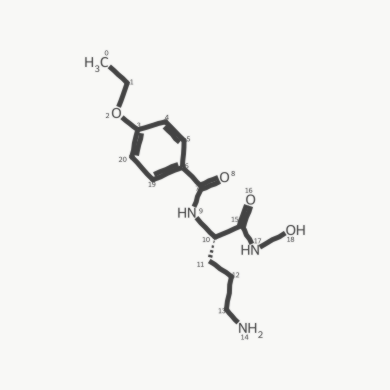 CCOc1ccc(C(=O)N[C@@H](CCCN)C(=O)NO)cc1